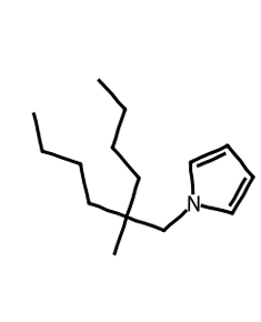 CCCCC(C)(CCCC)Cn1cccc1